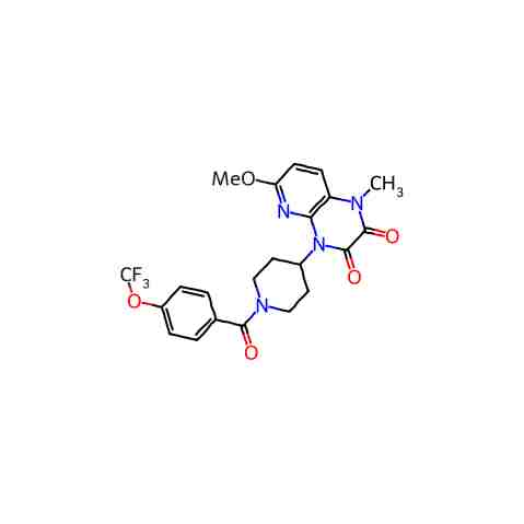 COc1ccc2c(n1)n(C1CCN(C(=O)c3ccc(OC(F)(F)F)cc3)CC1)c(=O)c(=O)n2C